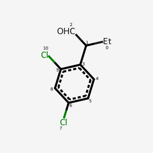 CCC(C=O)c1ccc(Cl)cc1Cl